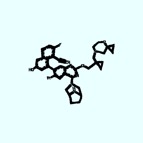 C#Cc1c(F)ccc2cc(O)cc(-c3cc4nc(OCC5(CN6CCOC7(CC7)C6)CC5)nc(N5CC6CCC(C5)N6)c4cc3C(C)C)c12